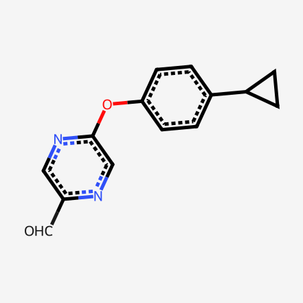 O=Cc1cnc(Oc2ccc(C3CC3)cc2)cn1